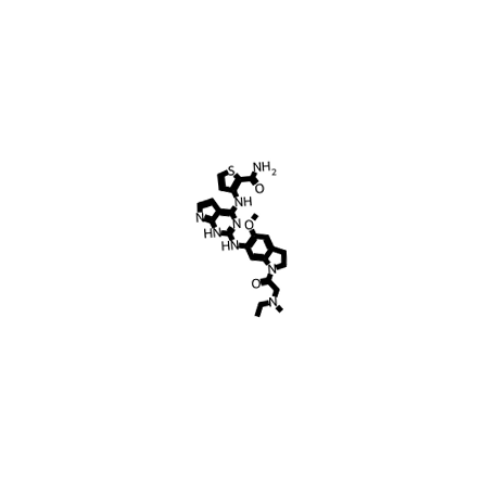 CCN(C)CC(=O)N1CCc2cc(OC)c(Nc3nc(Nc4ccsc4C(N)=O)c4ccnc-4[nH]3)cc21